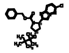 CC(C)(C)[Si](C)(C)O[C@H]1C[C@H](c2cn3nc(Cl)ccc3n2)N(C(=O)OCc2ccccc2)C1